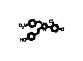 O=[N+]([O-])c1ccc(Cn2cc(-c3ccc(Cl)cc3Cl)nc2/C=C/c2ccc(O)cc2)cc1